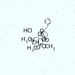 COc1ccc(C2(CCCN(C)C)S(=O)(=O)CCC(CCc3ccccc3)S2(=O)=O)cc1OC.Cl